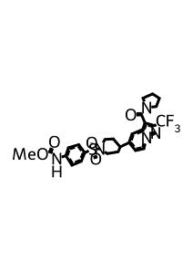 COC(=O)Nc1ccc(S(=O)(=O)N2CCC(c3ccn4nc(C(F)(F)F)c(C(=O)N5CCCC5)c4c3)CC2)cc1